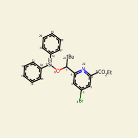 CCOC(=O)c1cc(Br)cc(C(O[SiH](c2ccccc2)c2ccccc2)C(C)(C)C)n1